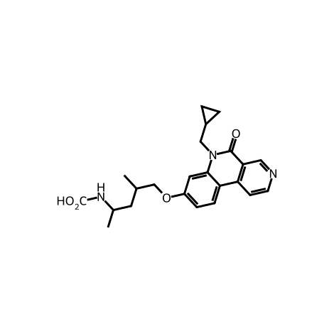 CC(COc1ccc2c3ccncc3c(=O)n(CC3CC3)c2c1)CC(C)NC(=O)O